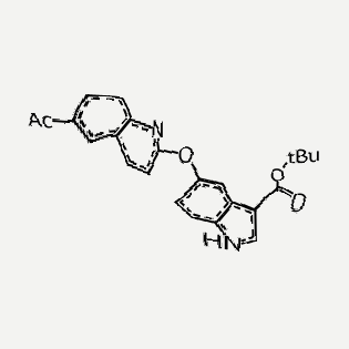 CC(=O)c1ccc2nc(Oc3ccc4[nH]cc(C(=O)OC(C)(C)C)c4c3)ccc2c1